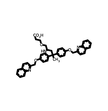 CC(CC(=N)COCCC(=O)O)(c1ccc(OCc2ccc3ccccc3n2)cc1)c1ccc(OCc2ccc3ccccc3n2)cc1